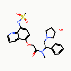 CN(C(=O)COc1ccc(NS(C)(=O)=O)c2ncccc12)[C@H](CN1CC[C@H](O)C1)c1ccccc1